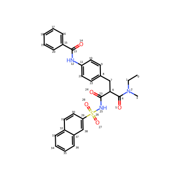 CCN(C)C(=O)C(Cc1ccc(NC(=O)c2ccccc2)cc1)C(=O)NS(=O)(=O)c1ccc2ccccc2c1